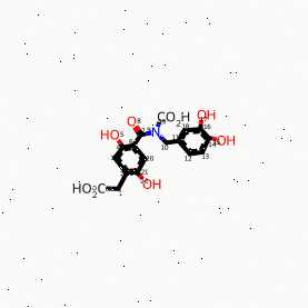 O=C(O)Cc1cc(O)c(C(=O)N(Cc2ccc(O)c(O)c2)C(=O)O)cc1O